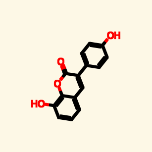 O=c1oc2c(O)cccc2cc1-c1ccc(O)cc1